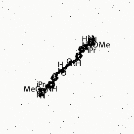 COc1cc(-c2[nH]c3ccc(C4CCN(CCNC(=O)CCCCC(=O)NCCN5CCC(c6ccc7[nH]c(-c8cc(OC)c9ncnn9c8)c(C(C)C)c7c6)CC5)CC4)cc3c2C(C)C)cn2ncnc12